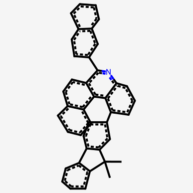 CC1(C)c2ccccc2-c2ccc(-c3cccc4nc(-c5ccc6ccccc6c5)c5ccc6ccccc6c5c34)cc21